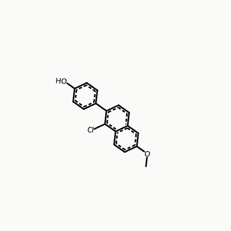 COc1ccc2c(Cl)c(-c3ccc(O)cc3)ccc2c1